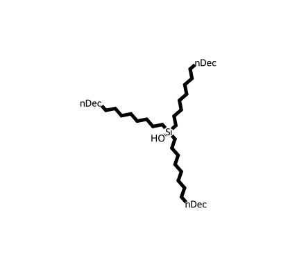 CCCCCCCCCCCCCCCCCC[Si](O)(CCCCCCCCCCCCCCCCCC)CCCCCCCCCCCCCCCCCC